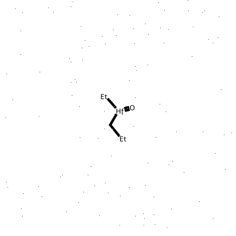 CC[CH2][Hf](=[O])[CH2]C